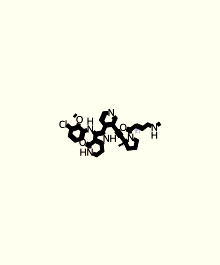 CNC/C=C/C(=O)N1CCC[C@]1(C)C#Cc1cnccc1-c1[nH]c2c(c1Nc1cccc(Cl)c1OC)C(=O)NCC2